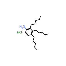 CCCCCc1ccc(N)c(CCCCC)c1CCCCC.Cl